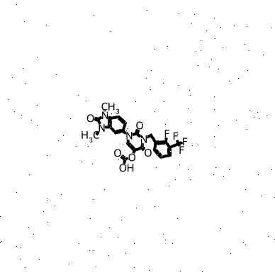 Cn1c(=O)n(C)c2cc(-n3cc(OC(=O)O)c(=O)n(Cc4cccc(C(F)(F)F)c4F)c3=O)ccc21